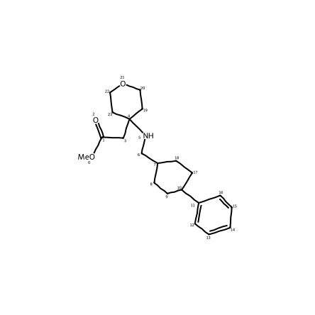 COC(=O)CC1(NCC2CCC(c3ccccc3)CC2)CCOCC1